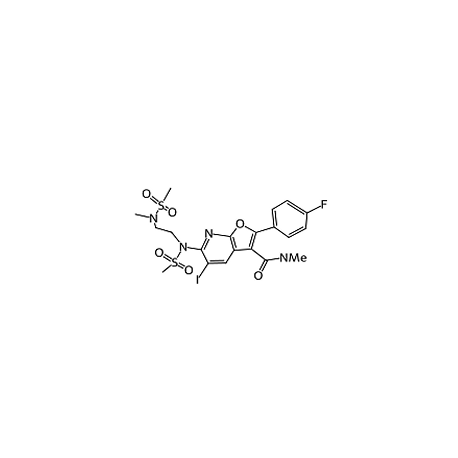 CNC(=O)c1c(-c2ccc(F)cc2)oc2nc(N(CCN(C)S(C)(=O)=O)S(C)(=O)=O)c(I)cc12